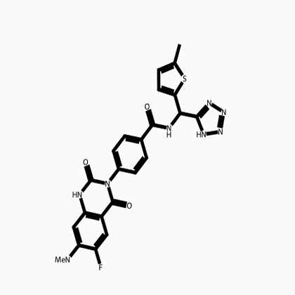 CNc1cc2[nH]c(=O)n(-c3ccc(C(=O)NC(c4nnn[nH]4)c4ccc(C)s4)cc3)c(=O)c2cc1F